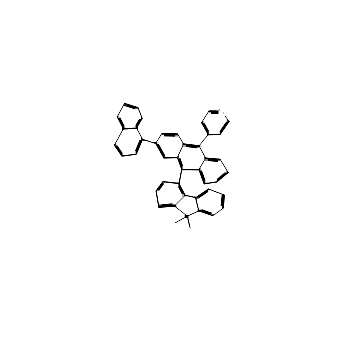 CC1(C)c2ccccc2-c2c(-c3c4ccccc4c(-c4ccncc4)c4ccc(-c5cccc6ccccc56)cc34)cccc21